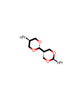 CCC[C@H]1CO[C@H]([C@H]2CO[C@H](CCC)OC2)OC1